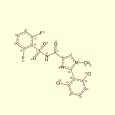 Cn1cc(C(=O)NS(=O)(=O)c2c(F)cccc2F)nc1-c1c(Cl)cccc1Cl